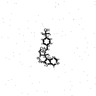 CC(=O)OCC1N=Nc2sc3cncnc3c2C1(C)NCc1ccc(C(C)(C)O)cc1